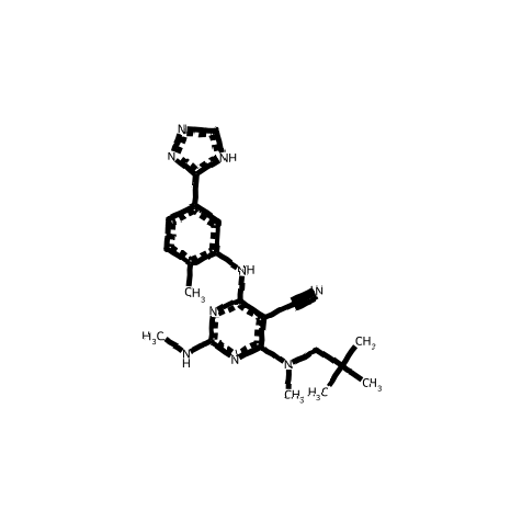 CNc1nc(Nc2cc(-c3nnc[nH]3)ccc2C)c(C#N)c(N(C)CC(C)(C)C)n1